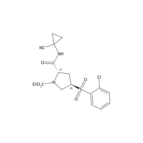 CCOC(=O)N1C[C@H](S(=O)(=O)c2ccccc2Cl)C[C@H]1C(=O)NC1(C#N)CC1